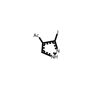 CC(=O)c1c[nH]nc1I